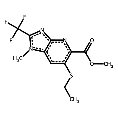 CCSc1cc2c(nc1C(=O)OC)nc(C(F)(F)F)n2C